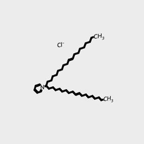 CCCCCCCCC=CCCCCCCCCC(CCCCCCCCC=CCCCCCCCC)[n+]1ccccc1.[Cl-]